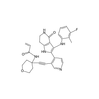 C=CC(=O)NC1(C#Cc2cnccc2-c2[nH]c3c(c2Nc2cccc(F)c2C)C(=O)NCC3)CCOCC1